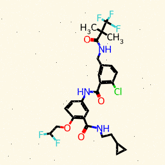 CC(C)(C(=O)NCc1ccc(Cl)c(C(=O)Nc2ccc(OCC(F)F)c(C(=O)NCCC3CC3)c2)c1)C(F)(F)F